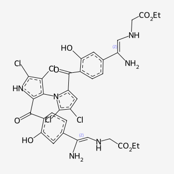 CCOC(=O)CN/C=C(\N)c1ccc(C(=O)c2[nH]c(Cl)c(Cl)c2-n2c(C(=O)c3ccc(/C(N)=C/NCC(=O)OCC)cc3O)cc(Cl)c2Cl)c(O)c1